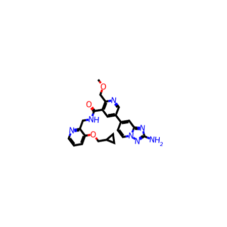 COCc1ncc(-c2ccn3nc(N)nc3c2)cc1C(=O)NCc1ncccc1OCC1CC1